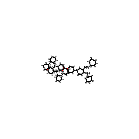 C(=N\c1cc(-c2ccc(-c3ccc4c(-c5ccccc5-c5ccccc5)c5ccccc5c(-c5ccccc5-c5ccccc5)c4c3)cc2)ccc1Nc1ccccc1)/c1ccccc1